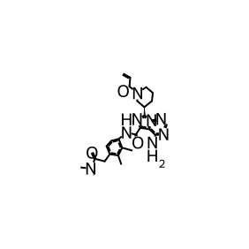 C=CC(=O)N1CCC[C@@H](c2nc(C(=O)Nc3ccc(CC(=O)N(C)C)c(C)c3C)c3c(N)ncnn23)C1